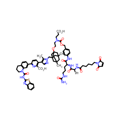 Cc1c(-c2ccc(-c3ccc4c(c3)N(C(=O)Nc3nc5ccccc5s3)CCC4)nc2C(=O)O)cnn1CC12CC3(C)CC(C)(C1)CC(OCCN(CCC(=O)O)C(=O)OCc1ccc(NC(=O)C(CCCNC(N)=O)NC(=O)C(NC(=O)CCCCCN4C(=O)C=CC4=O)C(C)C)cc1)(C3)C2